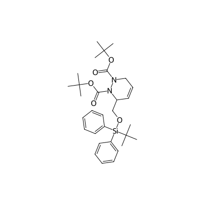 CC(C)(C)OC(=O)N1CC=CC(CO[Si](c2ccccc2)(c2ccccc2)C(C)(C)C)N1C(=O)OC(C)(C)C